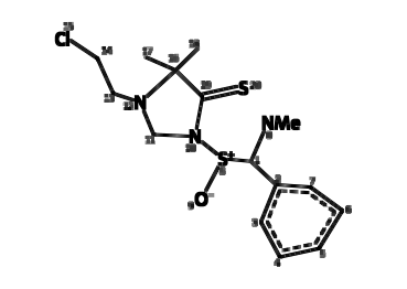 CNC(c1ccccc1)[S+]([O-])N1CN(CCCl)C(C)(C)C1=S